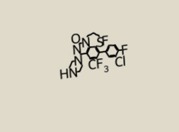 O=c1nc(N2CCNCC2)c2cc(C(F)(F)F)c(-c3cc(Cl)c(F)cc3F)c3c2n1CCCS3